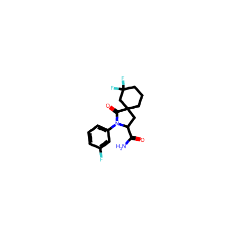 NC(=O)C1CC2(C[CH]CC(F)(F)C2)C(=O)N1c1cccc(F)c1